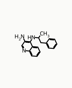 CC(Cc1ccccc1)Nc1c(N)cnc2ccccc12